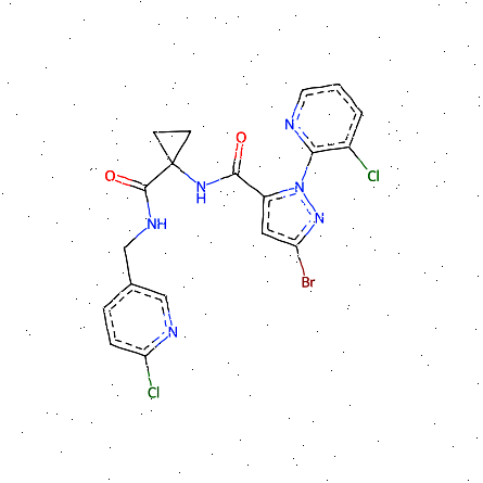 O=C(NC1(C(=O)NCc2ccc(Cl)nc2)CC1)c1cc(Br)nn1-c1ncccc1Cl